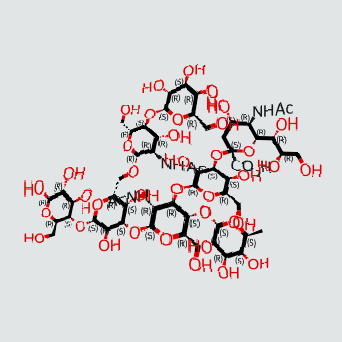 CC(=O)N[C@H]1[C@H](OC[C@H]2O[C@@H](O[C@H]3[C@H](O)[C@@H](O)[C@H](O)O[C@@H]3CO)[C@H](O)[C@@H](O[C@@H]3O[C@H](CO)[C@@H](O[C@@H]4O[C@@H](C)[C@@H](O)[C@@H](O)[C@@H]4O)[C@H](O[C@@H]4O[C@H](CO)[C@H](O)[C@H](O[C@]5(C(=O)O)C[C@H](O)[C@@H](NC(C)=O)[C@H]([C@H](O)[C@H](O)CO)O5)[C@H]4O)[C@H]3NC(C)=O)[C@H]2O)O[C@H](CO)[C@@H](O[C@@H]2O[C@H](CO)[C@H](O)[C@H](O)[C@H]2O)[C@@H]1O